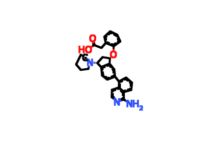 Nc1nccc2c(-c3ccc4c(c3)[C@H](Oc3ccccc3CC(=O)O)C[C@H]4N3CCCCC3)cccc12